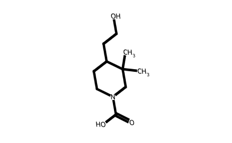 CC1(C)CN(C(=O)O)CCC1CCO